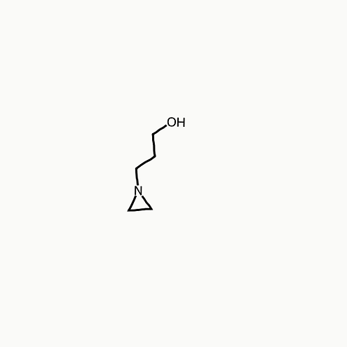 OCCCN1CC1